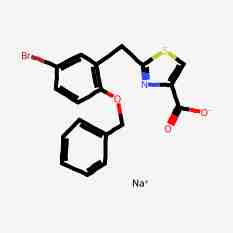 O=C([O-])c1csc(Cc2cc(Br)ccc2OCc2ccccc2)n1.[Na+]